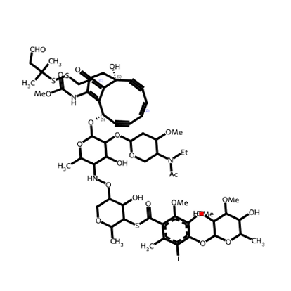 CCN(C(C)=O)C1COC(OC2C(O[C@H]3C#C/C=C\C#C[C@]4(O)CC(=O)C(NC(=O)OC)=C3/C4=C\CSSC(C)(C)CC=O)OC(C)C(NOC3COC(C)C(SC(=O)c4c(C)c(I)c(OC5OC(C)C(O)C(OC)C5O)c(OC)c4OC)C3O)C2O)CC1OC